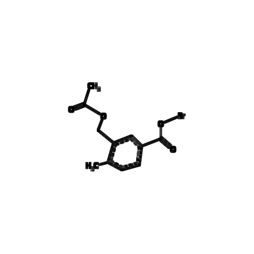 CC(=O)OCc1cc(C(=O)OBr)ccc1C